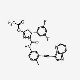 Cc1ccc(NC(=O)N2N=C(OC(=O)C(F)(F)F)C[C@@H]2c2cc(F)cc(F)c2)cc1C#Cc1cnc2cccnn12